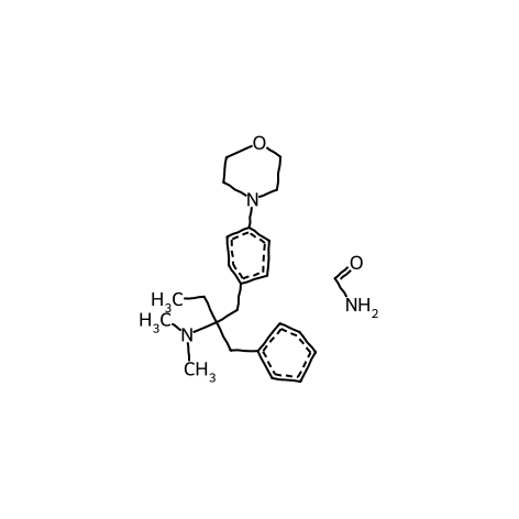 CCC(Cc1ccccc1)(Cc1ccc(N2CCOCC2)cc1)N(C)C.NC=O